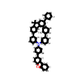 CC1(C)c2ccc(-c3cccc(N(c4ccc(-c5ccc6oc7ccccc7c6c5)cc4)c4cccc(-c5ccccc5)c4)c3)cc2-c2ccc(-c3ccccc3)cc21